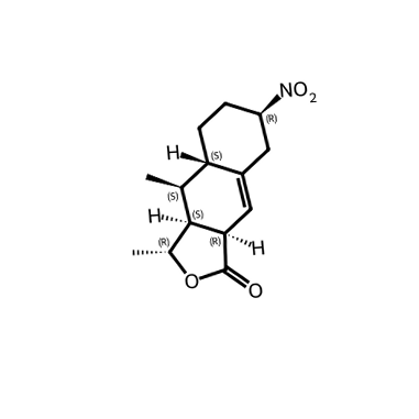 C[C@@H]1[C@@H]2[C@@H](C)OC(=O)[C@@H]2C=C2C[C@H]([N+](=O)[O-])CC[C@H]21